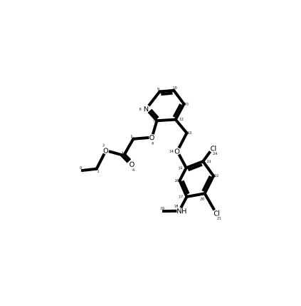 CCOC(=O)COc1ncccc1COc1cc(NC)c(Cl)cc1Cl